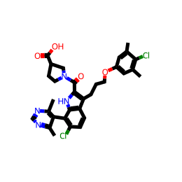 Cc1cc(OCCCc2c(C(=O)N3CCC(C(=O)O)C3)[nH]c3c(-c4c(C)ncnc4C)c(Cl)ccc23)cc(C)c1Cl